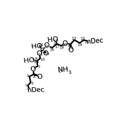 CCCCCCCCCCCCCC(=O)OC[C@@H](O)COP(=O)(O)OC[C@@H](O)COC(=O)CCCCCCCCCCCCC.N